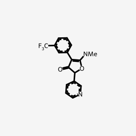 CNC1=C(c2cccc(C(F)(F)F)c2)C(=O)C(c2cccnc2)O1